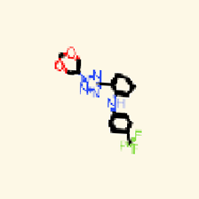 FC(F)(F)c1ccc(Nc2ccccc2-c2nnn(C3COCOC3)n2)cc1